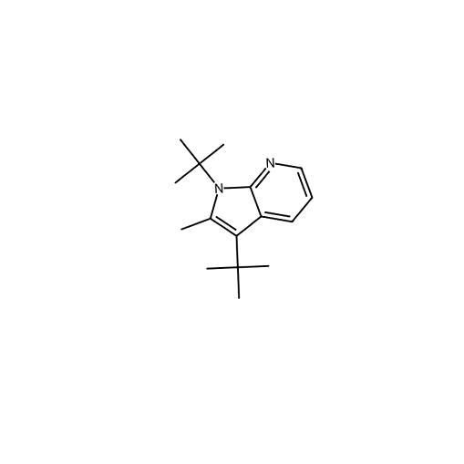 Cc1c(C(C)(C)C)c2cccnc2n1C(C)(C)C